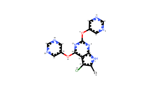 CCc1[nH]c2nc(Oc3cncnc3)nc(Oc3cncnc3)c2c1Cl